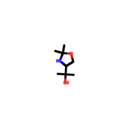 CC1(C)NC(C(C)(C)O)CO1